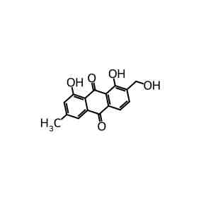 Cc1cc(O)c2c(c1)C(=O)c1ccc(CO)c(O)c1C2=O